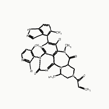 C=CC(=O)N1CC(C)N2c3nc(=O)n(-c4c(C)ccnc4C(C)C)c4nc(-c5c(C)ccc6[nH]ncc56)c(Cl)c(c34)N(C)C(=O)C2C1